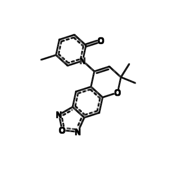 Cc1ccc(=O)n(C2=CC(C)(C)Oc3cc4nonc4cc32)c1